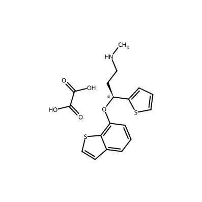 CNCC[C@H](Oc1cccc2ccsc12)c1cccs1.O=C(O)C(=O)O